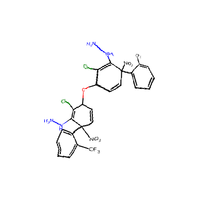 NNC1=C(Cl)C(OC2C=CC(c3ccccc3C(F)(F)F)([N+](=O)[O-])C(NN)=C2Cl)C=CC1(c1ccccc1C(F)(F)F)[N+](=O)[O-]